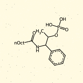 CCCCCCCCC(=O)NC(c1ccccc1)C(C)OP(=O)(O)O